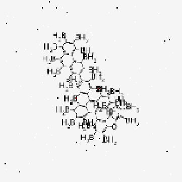 Bc1c(B)c(-c2c3c(B)c(B)c(B)c(B)c3c(-c3c(B)c(B)c(B)c4oc5c(B)c(B)c(B)c(B)c5c34)c3c(B)c(B)c(B)c(B)c23)c(B)c(B)c1-c1c(B)c(B)c2c(c1B)c(B)c(B)c1c(B)c(B)c(B)c(B)c12